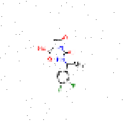 CC(NC(=O)N1C(=O)CC1C(=O)O)c1ccc(F)c(F)c1